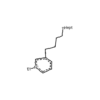 CCCCCCCCCCCc1ccc[n+](CC)c1